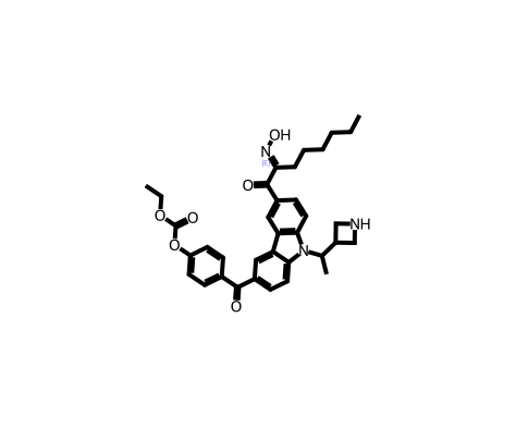 CCCCCC/C(=N\O)C(=O)c1ccc2c(c1)c1cc(C(=O)c3ccc(OC(=O)OCC)cc3)ccc1n2C(C)C1CNC1